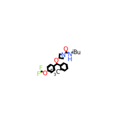 CCC(C)NC(=O)N1CC(OC(c2ccc(OC(F)F)cc2)c2ccccc2C(F)(F)F)C1